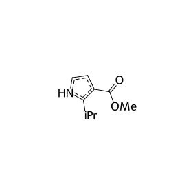 COC(=O)c1cc[nH]c1C(C)C